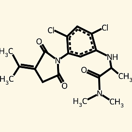 CC(C)=C1CC(=O)N(c2cc(NC(C)C(=O)N(C)C)c(Cl)cc2Cl)C1=O